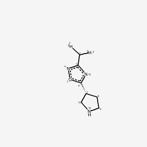 [2H]C([2H])c1noc([C@@H]2CCNC2)n1